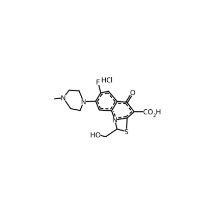 CN1CCN(c2cc3c(cc2F)c(=O)c(C(=O)O)c2n3C(CO)S2)CC1.Cl